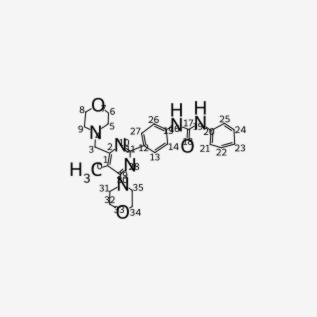 Cc1c(CN2CCOCC2)nc(-c2ccc(NC(=O)Nc3ccccc3)cc2)nc1N1CCOCC1